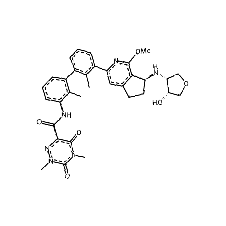 COc1nc(-c2cccc(-c3cccc(NC(=O)c4nn(C)c(=O)n(C)c4=O)c3C)c2C)cc2c1[C@@H](N[C@@H]1COC[C@@H]1O)CC2